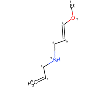 C=CCNCC=COCC